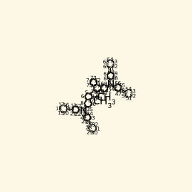 CC1(C)c2c(ccc3cc(N(c4ccc(C5CCCCC5)cc4)c4ccc(C5CCCCC5)cc4)ccc23)-c2c1c1ccc(N(c3ccc(C4CCCCC4)cc3)c3ccc(C4CCCCC4)cc3)cc1c1ccccc21